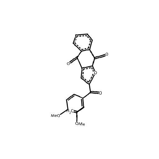 C=C(/C=C(\C=C/COC)C(=O)c1cc2c(o1)C(=O)c1ccccc1C2=O)OC